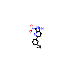 C[Si](C)(C)c1cccc(-c2ccc3[nH]nc([N+](=O)[O-])c3n2)c1